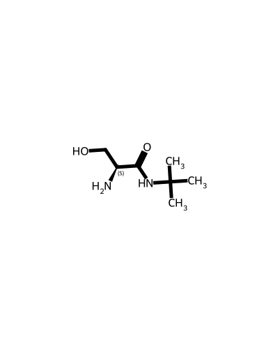 CC(C)(C)NC(=O)[C@@H](N)CO